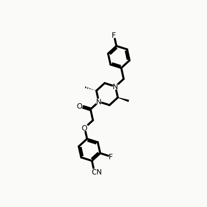 C[C@@H]1CN(Cc2ccc(F)cc2)[C@@H](C)CN1C(=O)COc1ccc(C#N)c(F)c1